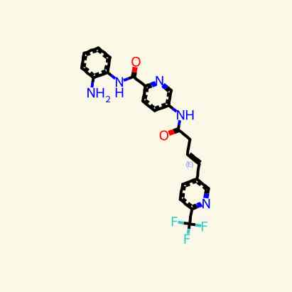 Nc1ccccc1NC(=O)c1ccc(NC(=O)C/C=C/c2ccc(C(F)(F)F)nc2)cn1